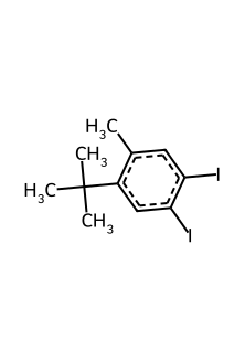 Cc1cc(I)c(I)cc1C(C)(C)C